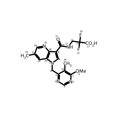 COc1ncnc(Cn2cc(C(=O)NCC(F)(F)C(=O)O)c3ncc(C)cc32)c1C